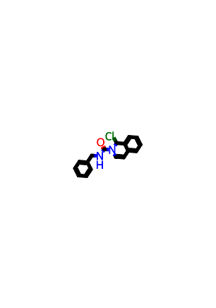 O=C(NCc1ccccc1)N1C=Cc2ccccc2C1Cl